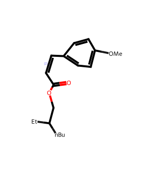 CCCCC(CC)COC(=O)/C=C\c1ccc(OC)cc1